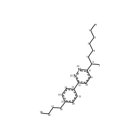 CCCCCCC(C)c1ccc(-c2ccc(CCCC)cc2)nn1